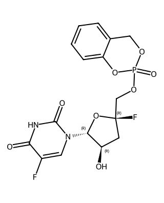 O=c1[nH]c(=O)n([C@@H]2O[C@](F)(COP3(=O)OCc4ccccc4O3)C[C@H]2O)cc1F